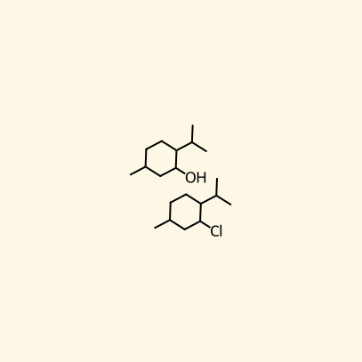 CC1CCC(C(C)C)C(Cl)C1.CC1CCC(C(C)C)C(O)C1